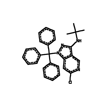 CC(C)(C)Nc1nn(C(c2ccccc2)(c2ccccc2)c2ccccc2)c2cc(Cl)ncc12